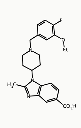 CCOc1cc(CN2CCC(n3c(C)nc4cc(C(=O)O)ccc43)CC2)ccc1F